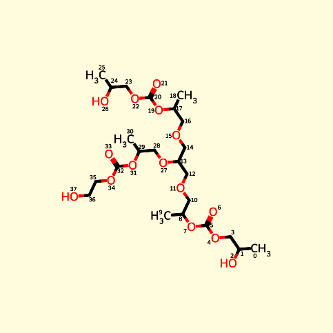 CC(O)COC(=O)OC(C)COCC(COCC(C)OC(=O)OCC(C)O)OCC(C)OC(=O)OCCO